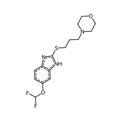 FC(F)Oc1ccc2nc(SCCCN3CCOCC3)[nH]c2c1